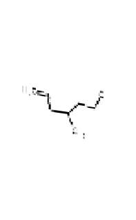 C=CCC(C)CC[O]